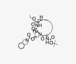 CCOC(=O)[C@@]12C[C@H]1C=CCCCCC[C@H](NC(=O)OC(C)(C)C)C(=O)N1C[C@H](OC(=O)N3Cc4ccccc4C3)C[C@H]1C(=O)N2